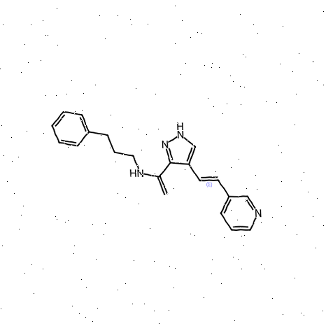 C=C(NCCCc1ccccc1)c1n[nH]cc1/C=C/c1cccnc1